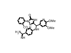 COc1cc(C(Nc2ccc(C(=N)N)cc2)c2nn(-c3ccccc3C(=O)O)c(=O)[nH]2)cnc1OC